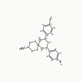 CCCC1CCC2(CC1)OC(c1ccc(F)cc1)CC(c1ccc(F)cc1)O2